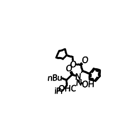 CCCCC(CC(C)C)C(=O)N([C@H](C(=O)OCC1CCCC1)c1ccccc1)N(O)C=O